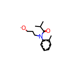 Cc1ccccc1N(CCC[O])C(=O)C(C)C